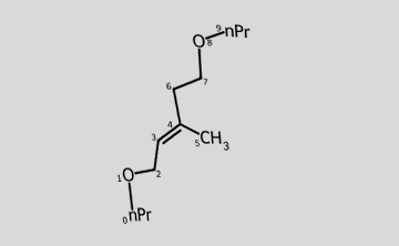 CCCOC/C=C(\C)CCOCCC